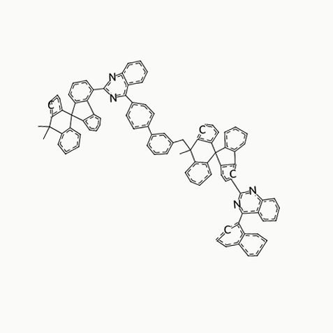 CC1(C)c2ccccc2C2(c3ccccc3-c3c(-c4nc(-c5ccc(-c6cccc(CC7(C)c8ccccc8C8(c9ccccc9-c9cc(-c%10nc(-c%11cccc%12ccccc%11%12)c%11ccccc%11n%10)ccc98)c8ccccc87)c6)cc5)c5ccccc5n4)cccc32)c2ccccc21